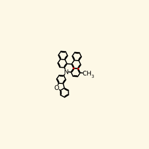 Cc1ccc(N(c2ccc3oc4ccccc4c3c2)c2ccc3ccccc3c2-c2cccc3ccccc23)cc1